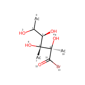 CC(=O)C(O)[C@@H](O)[C@](O)(C(C)=O)[C@](O)(C(C)=O)C(=O)Br